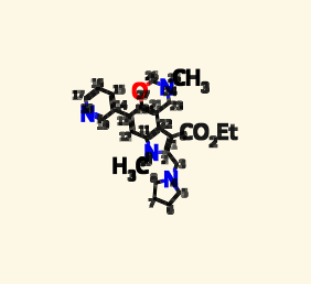 CCOC(=O)c1c(CN2CCCC2)n(C)c2cc(-c3cccnc3)c3c(c12)CN(C)CO3